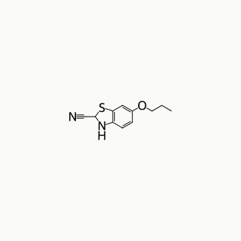 CCCOc1ccc2c(c1)SC(C#N)N2